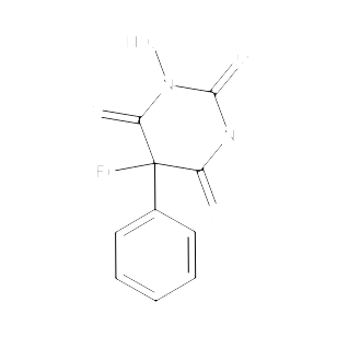 CCC1(c2ccccc2)C(=O)[N]C(=O)N(C)C1=O